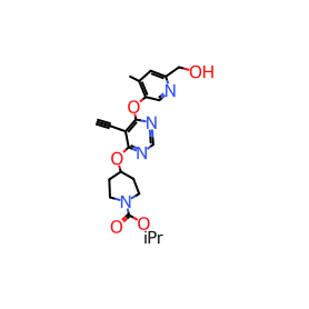 C#Cc1c(Oc2cnc(CO)cc2C)ncnc1OC1CCN(C(=O)OC(C)C)CC1